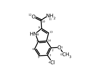 COc1c(Cl)ccc2[nH]c(C(N)=O)cc12